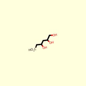 O=C(O)CC(O)CC(O)CO